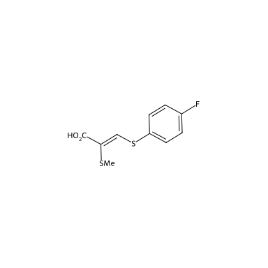 CS/C(=C\Sc1ccc(F)cc1)C(=O)O